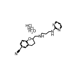 Cl.Cl.N#Cc1ccc2c(c1)CCC(CNCCCNc1ncccn1)O2.O